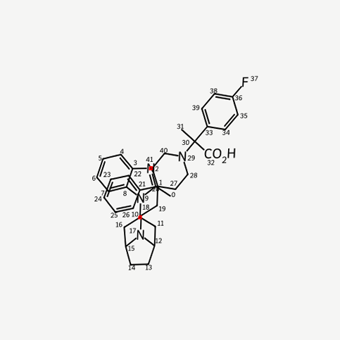 Cc1nc2ccccc2n1C1CC2CCC(C1)N2CCC1(c2ccccc2)CCN(C(C)(C(=O)O)c2ccc(F)cc2)CC1